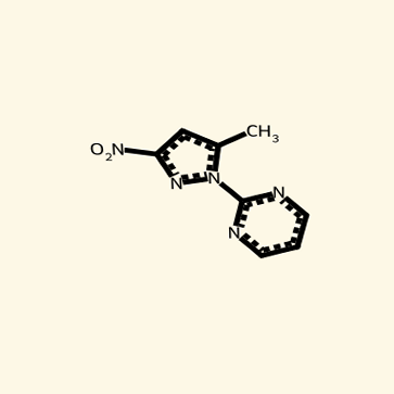 Cc1cc([N+](=O)[O-])nn1-c1ncccn1